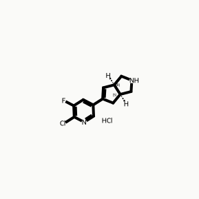 Cl.Fc1cc(C2=C[C@H]3CNC[C@H]3C2)cnc1Cl